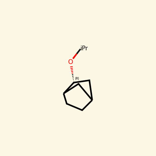 CC(C)O[C@@H]1CC2CCC1C2